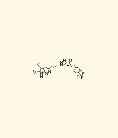 O=C(NCc1ccc(C(F)(F)F)nc1)c1cn(CCCCc2cc3c(C4CC4)c(C4CC4)[nH]c3nn2)nn1